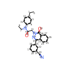 CCc1ccc(N(CC)C(=O)Cn2nc(-c3cccc(C#N)c3)c3ccccc3c2=O)cc1